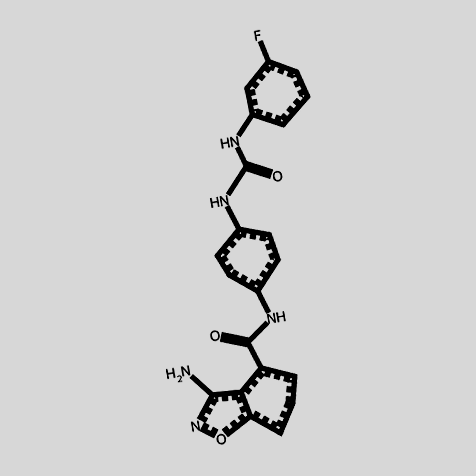 Nc1noc2cccc(C(=O)Nc3ccc(NC(=O)Nc4cccc(F)c4)cc3)c12